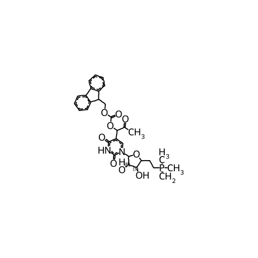 C=P(C)(C)CCC1OC(n2cc(C(OC(=O)OCC3c4ccccc4-c4ccccc43)C(C)=O)c(=O)[nH]c2=O)[C@H](O)[C@@H]1O